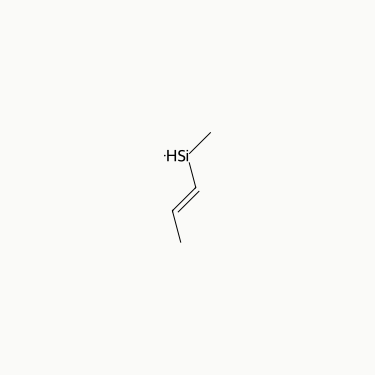 CC=C[SiH]C